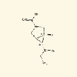 CCC(=O)[C@@H]1C2CN(C(=O)O)C[C@@H]21